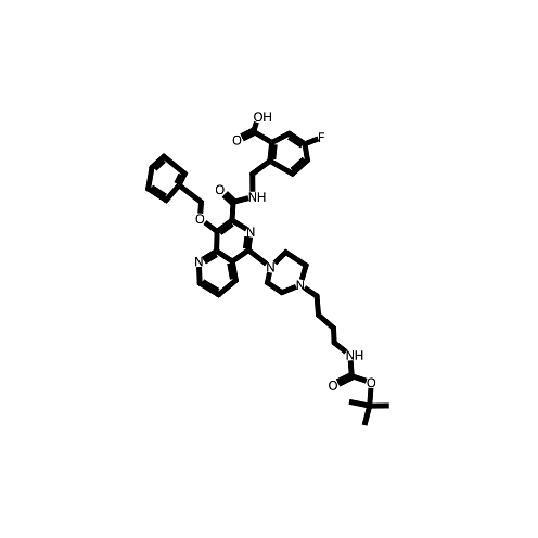 CC(C)(C)OC(=O)NCCCCN1CCN(c2nc(C(=O)NCc3ccc(F)cc3C(=O)O)c(OCc3ccccc3)c3ncccc23)CC1